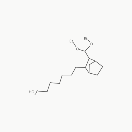 CCOC(OCC)C1C2CCC(C2)C1CCCCCCC(=O)O